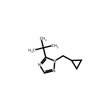 CC(C)(C)c1ncnn1CC1CC1